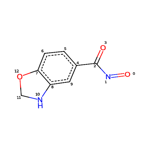 O=NC(=O)c1ccc2c(c1)NCO2